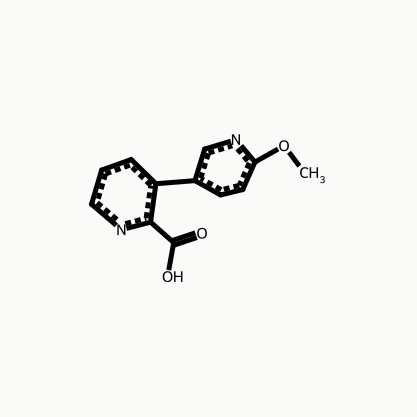 COc1ccc(-c2cccnc2C(=O)O)cn1